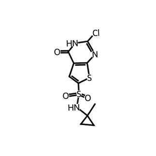 CC1(NS(=O)(=O)c2cc3c(=O)[nH]c(Cl)nc3s2)CC1